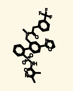 Cc1noc(NS(=O)(=O)c2ccccc2-c2ccc(-c3ncco3)cc2CN(C)C(=O)Cc2cccc(C(F)(F)F)c2)c1C